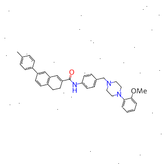 COc1ccccc1N1CCN(Cc2ccc(NC(=O)C3=Cc4cc(-c5ccc(C)cc5)ccc4CC3)cc2)CC1